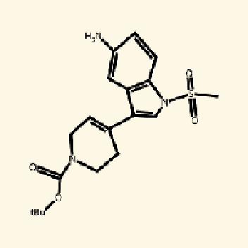 CC(C)(C)OC(=O)N1CC=C(c2cn(S(C)(=O)=O)c3ccc(N)cc23)CC1